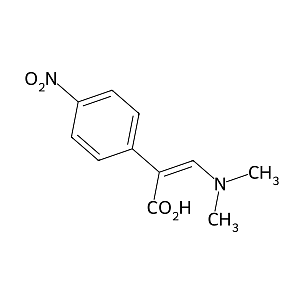 CN(C)C=C(C(=O)O)c1ccc([N+](=O)[O-])cc1